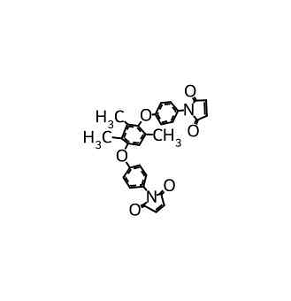 Cc1cc(Oc2ccc(N3C(=O)C=CC3=O)cc2)c(C)c(C)c1Oc1ccc(N2C(=O)C=CC2=O)cc1